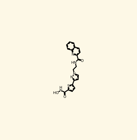 O=C(NCCn1ccc(-c2ccc(C(=O)NO)s2)n1)c1ccc2ccccc2n1